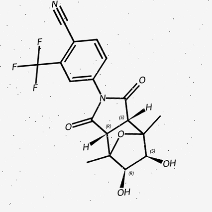 CC12OC(C)([C@@H](O)[C@H]1O)[C@H]1C(=O)N(c3ccc(C#N)c(C(F)(F)F)c3)C(=O)[C@H]12